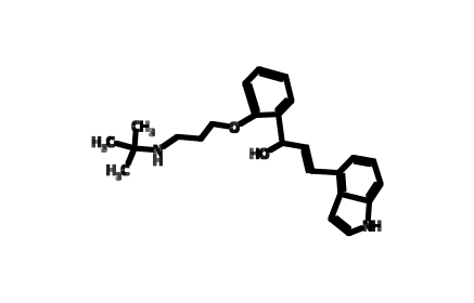 CC(C)(C)NCCCOc1ccccc1C(O)/C=C/c1cccc2[nH]ccc12